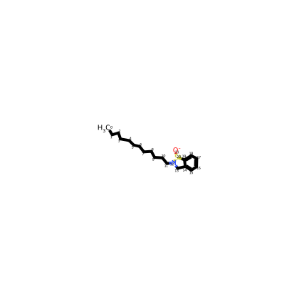 CCCCCCCCCCCCN1Cc2ccccc2[S+]1[O-]